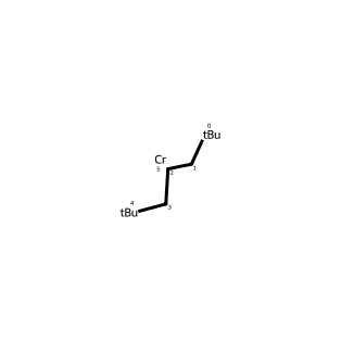 CC(C)(C)CCCC(C)(C)C.[Cr]